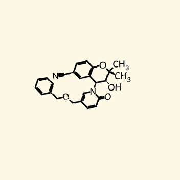 CC1(C)Oc2ccc(C#N)cc2[C@H](n2cc(COCc3ccccc3)ccc2=O)[C@H]1O